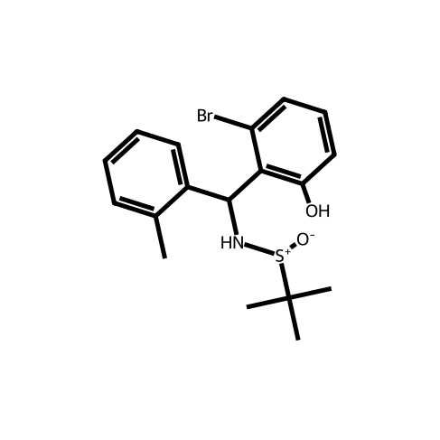 Cc1ccccc1C(N[S+]([O-])C(C)(C)C)c1c(O)cccc1Br